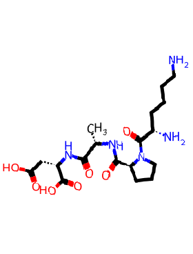 C[C@H](NC(=O)[C@@H]1CCCN1C(=O)[C@@H](N)CCCCN)C(=O)N[C@@H](CC(=O)O)C(=O)O